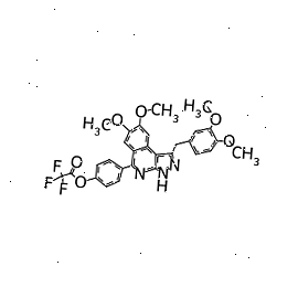 COc1ccc(Cc2n[nH]c3nc(-c4ccc(OC(=O)C(F)(F)F)cc4)c4cc(OC)c(OC)cc4c23)cc1OC